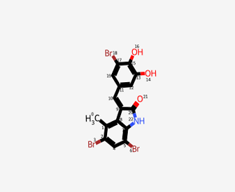 Cc1c(Br)cc(Br)c2c1C(=Cc1cc(O)c(O)c(Br)c1)C(=O)N2